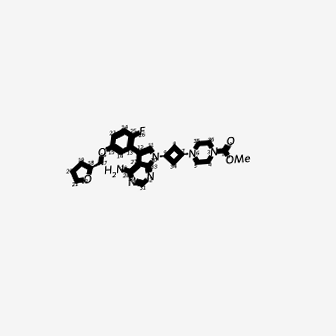 COC(=O)N1CCN([C@H]2C[C@@H](n3cc(-c4cc(OC[C@@H]5CCCO5)ccc4F)c4c(N)ncnc43)C2)CC1